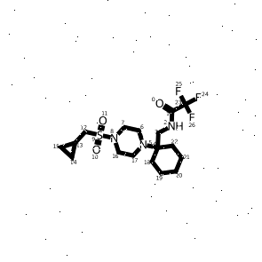 O=C(NCC1(N2CCN(S(=O)(=O)CC3CC3)CC2)CCCCC1)C(F)(F)F